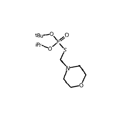 CC(C)OP(=O)(OC(C)(C)C)SCN1CCOCC1